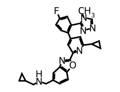 Cn1cnnc1-c1cc(F)ccc1-c1cc(-c2nc3cc(CNCC4CC4)ccc3o2)nc(C2CC2)c1